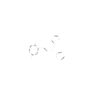 Cc1ccc(C)c(/C=[CH]/[Zr+]([C]2=CC=CC2)[C]2=CC=CC2)c1.[Cl-]